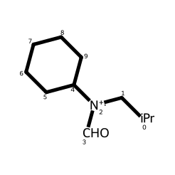 CC(C)C[N+](C=O)C1CCCCC1